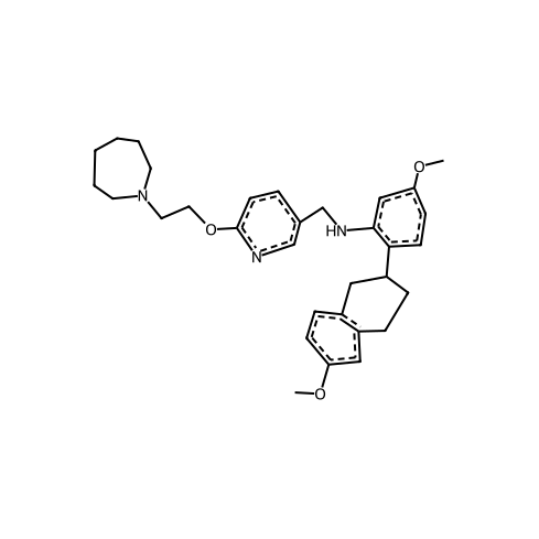 COc1ccc2c(c1)CCC(c1ccc(OC)cc1NCc1ccc(OCCN3CCCCCC3)nc1)C2